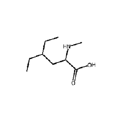 CCC(CC)CC(NC)C(=O)O